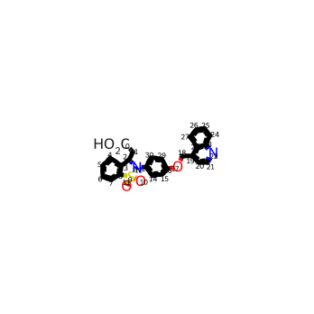 O=C(O)CC1c2ccccc2S(=O)(=O)N1c1ccc(OCc2ccnc3ccccc23)cc1